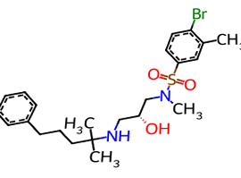 Cc1cc(S(=O)(=O)N(C)C[C@H](O)CNC(C)(C)CCCc2ccccc2)ccc1Br